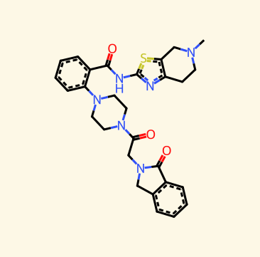 CN1CCc2nc(NC(=O)c3ccccc3N3CCN(C(=O)CN4Cc5ccccc5C4=O)CC3)sc2C1